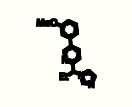 CCC(c1ccc(-c2cccc(OC)c2)cn1)n1ccnc1